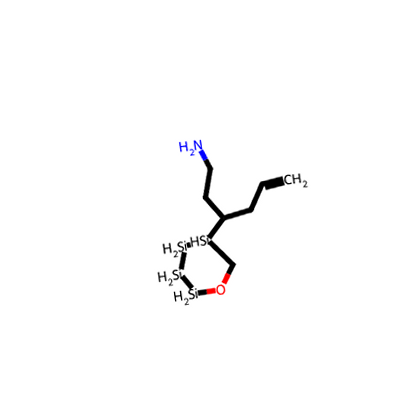 C=CCC(CCN)[SiH]1CO[SiH2][SiH2][SiH2]1